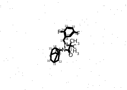 CC1(C)C(=O)N(C2C3CC4CC(C3)CC2C4)N1Cc1cc(F)ccc1F